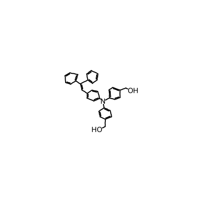 OCc1ccc(N(c2ccc(C=C(c3ccccc3)c3ccccc3)cc2)c2ccc(CO)cc2)cc1